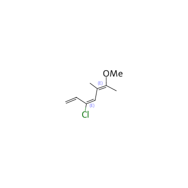 C=C/C(Cl)=C\C(C)=C(/C)OC